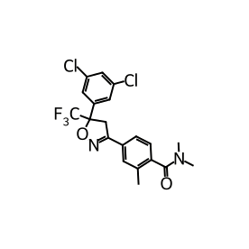 Cc1cc(C2=NOC(c3cc(Cl)cc(Cl)c3)(C(F)(F)F)C2)ccc1C(=O)N(C)C